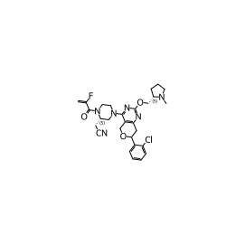 C=C(F)C(=O)N1CCN(c2nc(OC[C@@H]3CCCN3C)nc3c2COC(c2ccccc2Cl)C3)C[C@@H]1CC#N